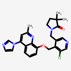 Cc1cc(-n2ccnc2)c2cccc(OCc3c(Cl)cncc3CN3CCC(C)(C)C3=O)c2n1